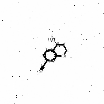 N#Cc1ccc2c(c1)OCC[C@H]2N